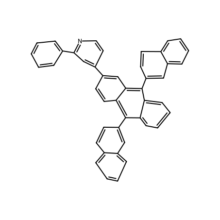 c1ccc(-c2cc(-c3ccc4c(-c5ccc6ccccc6c5)c5ccccc5c(-c5ccc6ccccc6c5)c4c3)ccn2)cc1